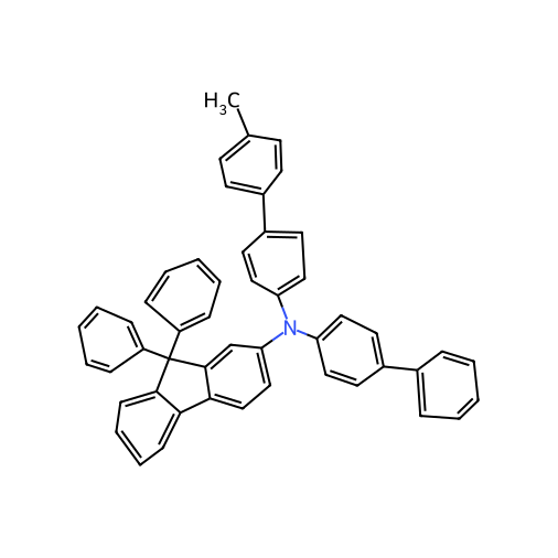 Cc1ccc(-c2ccc(N(c3ccc(-c4ccccc4)cc3)c3ccc4c(c3)C(c3ccccc3)(c3ccccc3)c3ccccc3-4)cc2)cc1